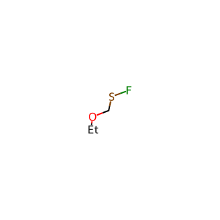 CCOCSF